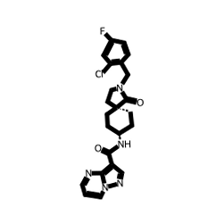 O=C(N[C@H]1CC[C@@]2(CCN(Cc3ccc(F)cc3Cl)C2=O)CC1)c1cnn2cccnc12